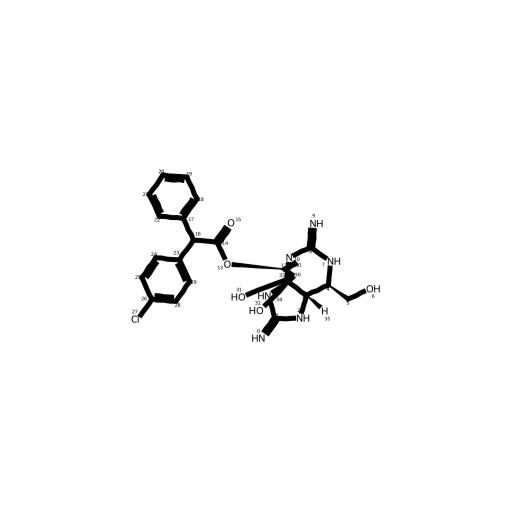 N=C1N[C@H]2[C@H](CO)NC(=N)N3C[C@H](OC(=O)C(c4ccccc4)c4ccc(Cl)cc4)C(O)(O)[C@]23N1